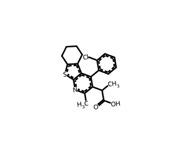 Cc1nc2sc3c(c2c(-c2ccccc2Cl)c1C(C)C(=O)O)CCCC3